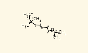 CCC(C)(C)C/C=C/CCOC(C)C